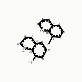 Cc1cccc2cccnc12.Fc1cccc2cccnc12